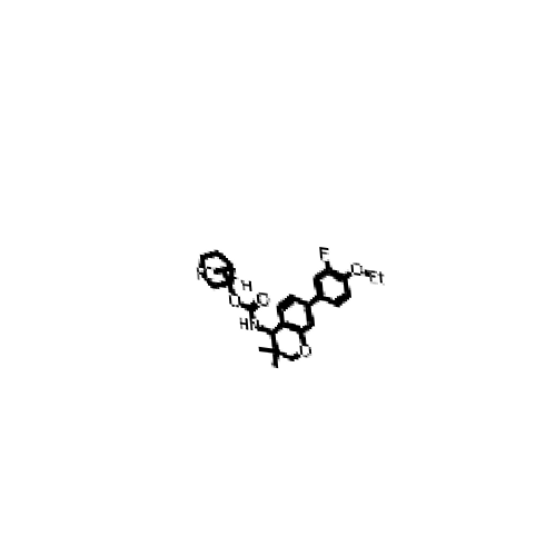 CCOc1ccc(-c2ccc3c(c2)OCC(C)(C)C3NC(=O)O[C@H]2CN3CCC2CC3)cc1F